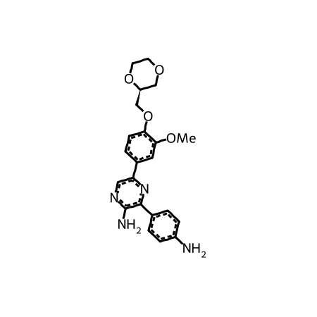 COc1cc(-c2cnc(N)c(-c3ccc(N)cc3)n2)ccc1OC[C@@H]1COCCO1